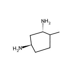 CC1CC[C@@H](N)C[C@@H]1N